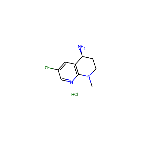 CN1CC[C@H](N)c2cc(Cl)cnc21.Cl